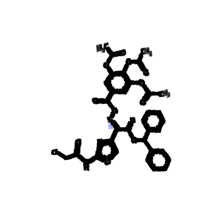 CC(=O)Oc1cc(C(=O)O/N=C(\C(=O)OC(c2ccccc2)c2ccccc2)c2coc(NC(=O)CCl)n2)cc(OC(C)=O)c1OC(C)=O